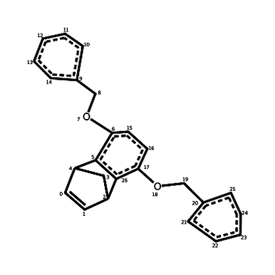 C1=CC2CC1c1c(OCc3ccccc3)ccc(OCc3ccccc3)c12